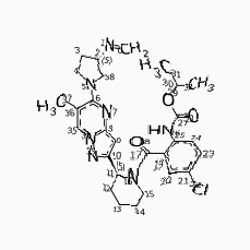 C=N[C@H]1CCN(c2nc3cc([C@@H]4CCCCN4C(=O)c4cc(Cl)ccc4NC(=O)OC(C)C)nn3cc2C)C1